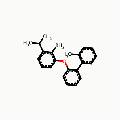 Bc1c(Oc2ccccc2-c2ccccc2C)cccc1C(C)C